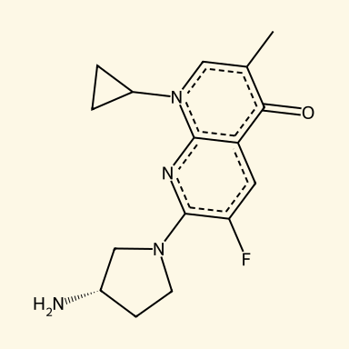 Cc1cn(C2CC2)c2nc(N3CC[C@H](N)C3)c(F)cc2c1=O